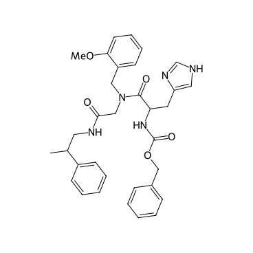 COc1ccccc1CN(CC(=O)NCC(C)c1ccccc1)C(=O)C(Cc1c[nH]cn1)NC(=O)OCc1ccccc1